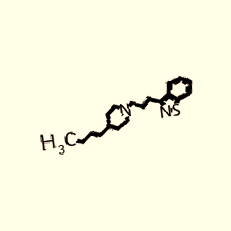 CCCCC1CCN(CCCc2nsc3ccccc23)CC1